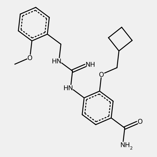 COc1ccccc1CNC(=N)Nc1ccc(C(N)=O)cc1OCC1CCC1